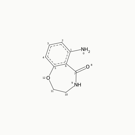 Nc1cccc2c1C(=O)NCCO2